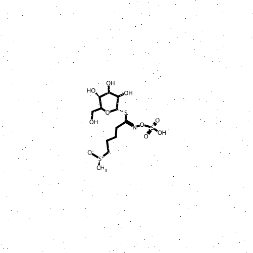 C[S@@+]([O-])CCCC/C(=N/OS(=O)(=O)O)S[C@@H]1OC(CO)[C@@H](O)C(O)C1O